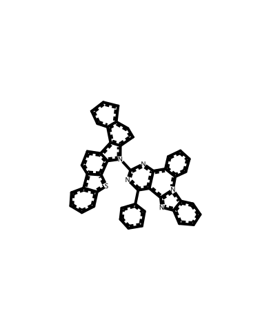 c1ccc(-c2nc(-n3c4ccc5ccccc5c4c4ccc5c6ccccc6sc5c43)nc3c4ccccc4n4c5ccccc5nc4c23)cc1